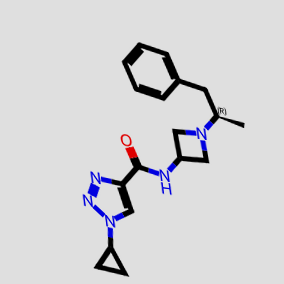 C[C@H](Cc1ccccc1)N1CC(NC(=O)c2cn(C3CC3)nn2)C1